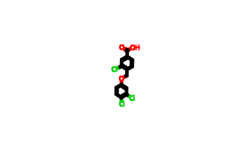 O=C(O)c1ccc(COc2ccc(Cl)c(Cl)c2)c(Cl)c1